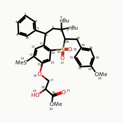 CCCCC1(CCCC)CC(c2ccccc2)c2cc(SC)c(OCC(O)C(=O)OC)cc2S(=O)(=O)C1Cc1ccc(OC)cc1